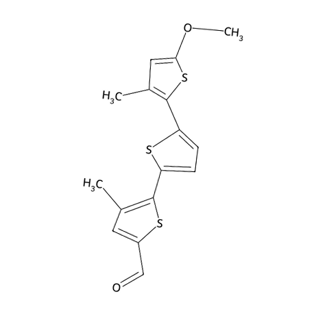 COc1cc(C)c(-c2ccc(-c3sc(C=O)cc3C)s2)s1